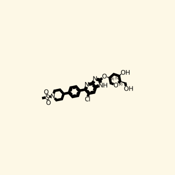 CS(=O)(=O)N1CCC(c2ccc(-c3nc4nc(O[C@H]5CO[C@H](CO)[C@@H](O)C5)[nH]c4cc3Cl)cc2)CC1